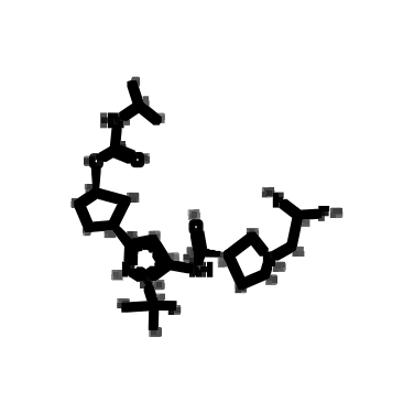 CC(C)NC(=O)O[C@@H]1CC[C@H](c2cc(NC(=O)[C@H]3CCN(CC(F)F)C3)n(C(C)(C)C)n2)C1